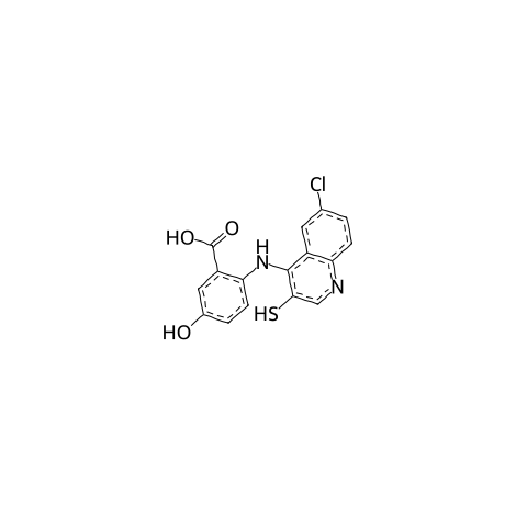 O=C(O)c1cc(O)ccc1Nc1c(S)cnc2ccc(Cl)cc12